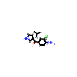 CC(C)C[C@@]1(C(=O)c2ccc(N)c(Cl)c2)CCNC1